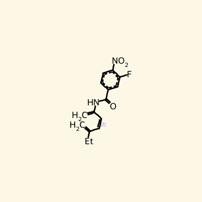 C=C(/C=C\C(=C)NC(=O)c1ccc([N+](=O)[O-])c(F)c1)CC